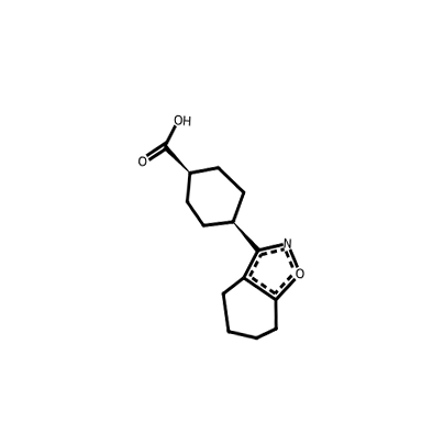 O=C(O)[C@H]1CC[C@@H](c2noc3c2CCCC3)CC1